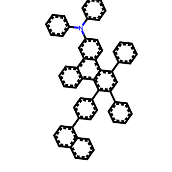 c1ccc(-c2cc(-c3ccccc3)c3c4ccc(N(c5ccccc5)c5ccccc5)cc4c4ccccc4c3c2-c2ccc(-c3cccc4ccccc34)cc2)cc1